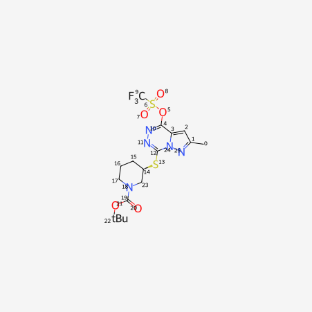 Cc1cc2c(OS(=O)(=O)C(F)(F)F)nnc(S[C@@H]3CCCN(C(=O)OC(C)(C)C)C3)n2n1